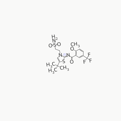 COc1ccc(C(F)(F)F)cc1C(=O)/N=c1\sc(C(C)(C)C)cn1CCS(N)(=O)=O